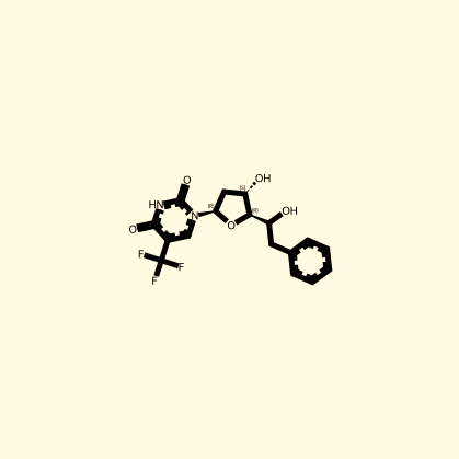 O=c1[nH]c(=O)n([C@H]2C[C@H](O)[C@@H](C(O)Cc3ccccc3)O2)cc1C(F)(F)F